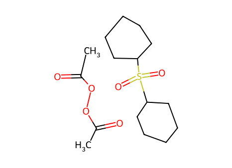 CC(=O)OOC(C)=O.O=S(=O)(C1CCCCC1)C1CCCCC1